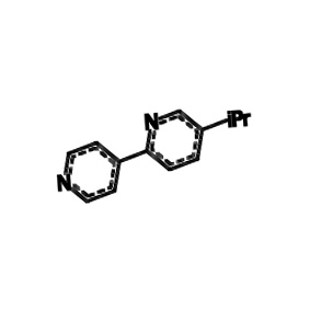 CC(C)c1ccc(-c2ccncc2)nc1